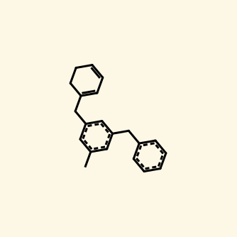 Cc1cc(CC2=CC=CCC2)cc(Cc2ccccc2)c1